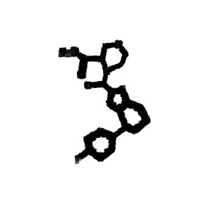 COC(=O)C1COCCN1C(=O)c1cc2c(-c3ccc(F)cc3)cccc2s1